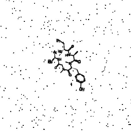 CCC(C)[C@H](NC(=O)CN(C)C(=O)[C@@H](Cc1ccc(O)cc1)N(C)C(=O)[C@H](C)NC(=O)[C@H](O)CC(C)C)C(C)=O